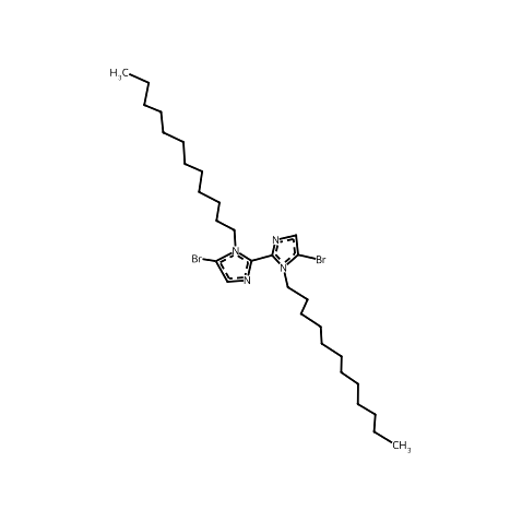 CCCCCCCCCCCCn1c(Br)cnc1-c1ncc(Br)n1CCCCCCCCCCCC